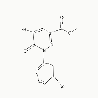 [2H]c1cc(C(=O)OC)nn(-c2cncc(Br)c2)c1=O